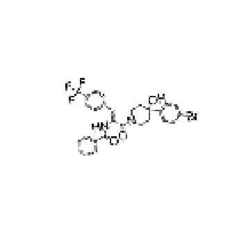 O=C(NC(=Cc1ccc(C(F)(F)F)cc1)C(=O)N1CCC(O)(c2ccc(Br)cc2)CC1)c1ccccc1